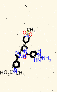 CN(C(=O)O)c1ccc(-c2cnc([C@@H]3C[C@@H](C4CCN(S(C)(=O)=O)CC4)CN3C(=O)c3ccc(NC(=N)N)cc3)[nH]2)cc1